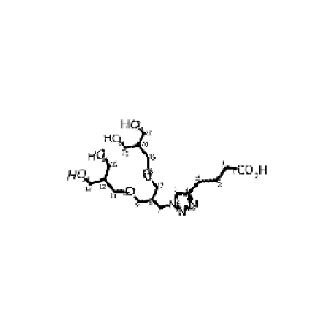 O=C(O)CCCc1cn(CC(COCC(CO)CO)COCC(CO)CO)nn1